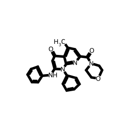 Cc1cc(C(=O)N2CCOCC2)nc2c1c(=O)cc(Nc1ccccc1)n2-c1ccccc1